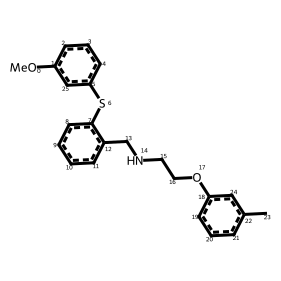 COc1cccc(Sc2ccccc2CNCCOc2cccc(C)c2)c1